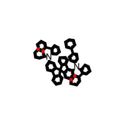 c1ccc(-c2ccc(N(c3ccccc3-c3ccccc3)c3cccc4c3-c3ccccc3C43c4ccccc4-c4ccc(N(c5ccccc5)c5ccccc5-c5ccccc5)cc43)cc2)cc1